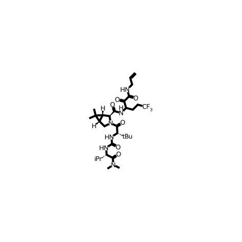 C=CCNC(=O)C(=O)C(CCC(F)(F)F)NC(=O)[C@@H]1[C@@H]2[C@H](CN1C(=O)[C@@H](NC(=O)N[C@H](C(=O)N(C)C)C(C)C)C(C)(C)C)C2(C)C